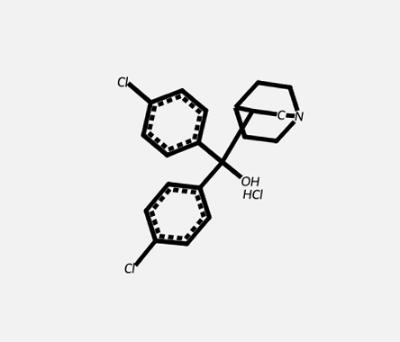 Cl.OC(c1ccc(Cl)cc1)(c1ccc(Cl)cc1)C1CN2CCC1CC2